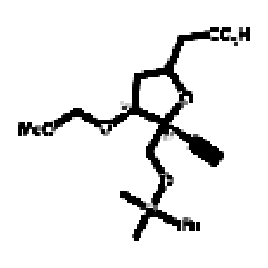 C#C[C@]1(CO[Si](C)(C)C(C)(C)C)OC(CC(=O)O)C[C@@H]1OCOC